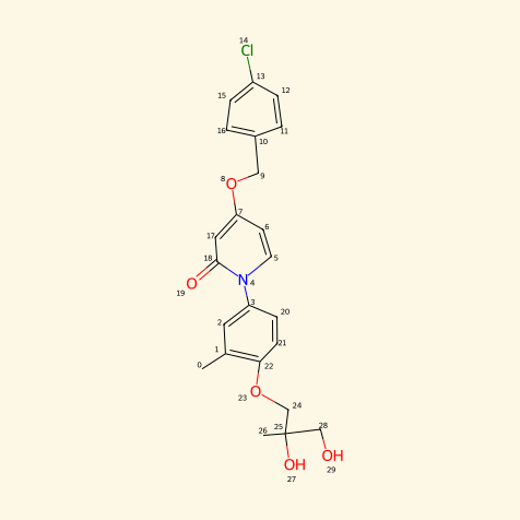 Cc1cc(-n2ccc(OCc3ccc(Cl)cc3)cc2=O)ccc1OCC(C)(O)CO